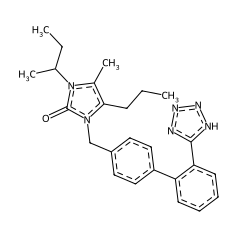 CCCc1c(C)n(C(C)CC)c(=O)n1Cc1ccc(-c2ccccc2-c2nnn[nH]2)cc1